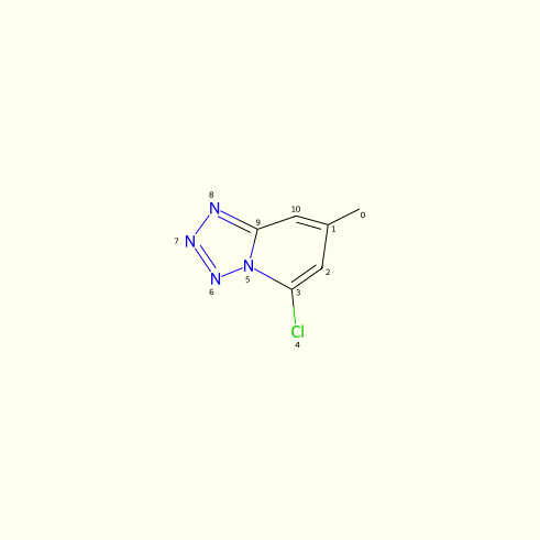 Cc1cc(Cl)n2nnnc2c1